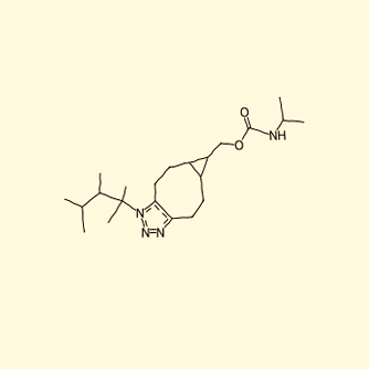 CC(C)NC(=O)OCC1C2CCc3nnn(C(C)(C)C(C)C(C)C)c3CCC21